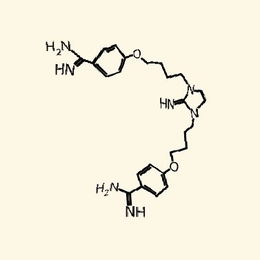 N=C(N)c1ccc(OCCCCN2CCN(CCCCOc3ccc(C(=N)N)cc3)C2=N)cc1